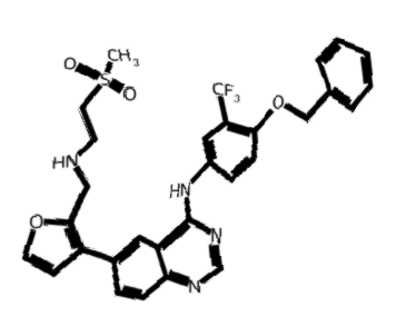 CS(=O)(=O)CCNCc1occc1-c1ccc2ncnc(Nc3ccc(OCc4ccccc4)c(C(F)(F)F)c3)c2c1